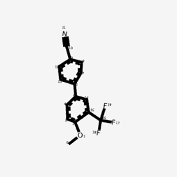 COc1ccc(-c2ccc(C#N)cc2)cc1C(F)(F)F